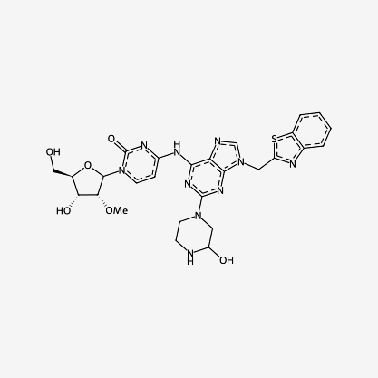 CO[C@H]1C(n2ccc(Nc3nc(N4CCNC(O)C4)nc4c3ncn4Cc3nc4ccccc4s3)nc2=O)O[C@H](CO)[C@H]1O